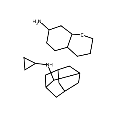 C1C2CC3CC1CC(C2)C3NC1CC1.NC1CCC2CCCCC2C1